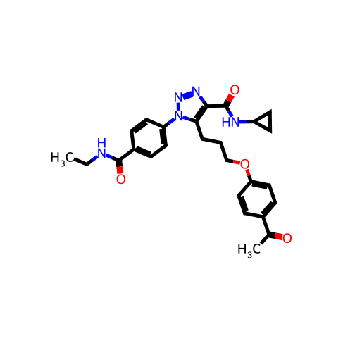 CCNC(=O)c1ccc(-n2nnc(C(=O)NC3CC3)c2CCCOc2ccc(C(C)=O)cc2)cc1